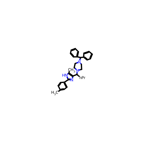 CCCC(c1nc(-c2ccc(C)cc2)[nH]c1C)N1CCN(C(c2ccccc2)c2ccccc2)CC1